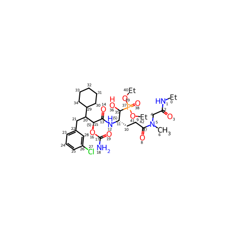 CCNC(=O)CN(C)C(=O)CC[C@H](NC(=O)[C@@H](OC(N)=O)C(Cc1cccc(Cl)c1)C1CCCCC1)C(O)P(=O)(OCC)OCC